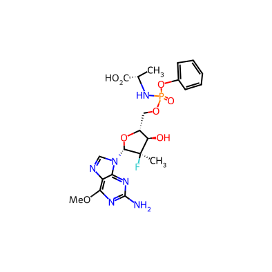 COc1nc(N)nc2c1ncn2[C@@H]1O[C@H](COP(=O)(N[C@@H](C)C(=O)O)Oc2ccccc2)[C@@H](O)[C@@]1(C)F